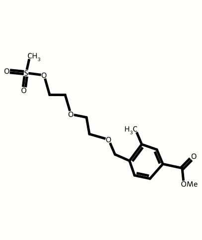 COC(=O)c1ccc(COCCOCCOS(C)(=O)=O)c(C)c1